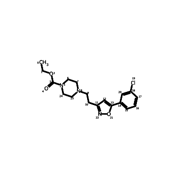 CCOC(=O)N1CCN(CCc2cc(-c3cccc(Cl)c3)on2)CC1